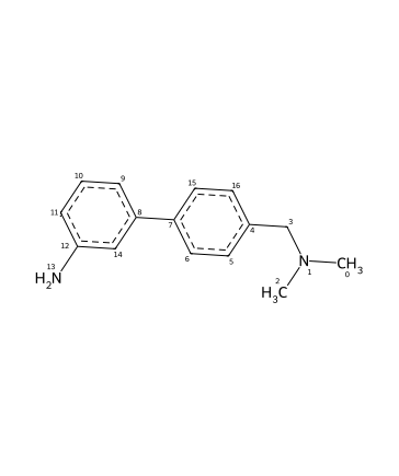 CN(C)Cc1ccc(-c2cc[c]c(N)c2)cc1